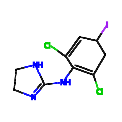 ClC1=CC(I)CC(Cl)=C1NC1=NCCN1